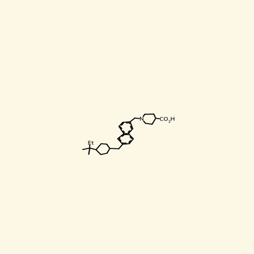 CCC(C)(C)C1CCC(Cc2ccc3cc(CN4CCC(C(=O)O)CC4)ccc3c2)CC1